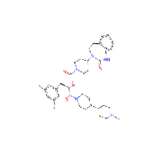 Cc1cc(C)cc(C[C@@H](OC(=O)N2CCC(N3CCc4ccccc4NC3=O)CC2)C(=O)N2CCC(C3CCN(C)CC3)CC2)c1